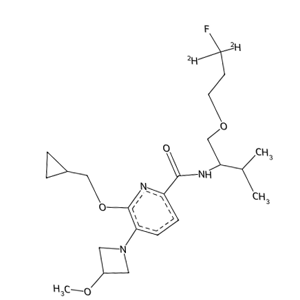 [2H]C([2H])(F)CCOCC(NC(=O)c1ccc(N2CC(OC)C2)c(OCC2CC2)n1)C(C)C